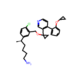 C[C@H](CCCCN)c1ccc(Cl)c(COC2(c3cnccc3-c3ccccc3OC3CC3)CC2)c1